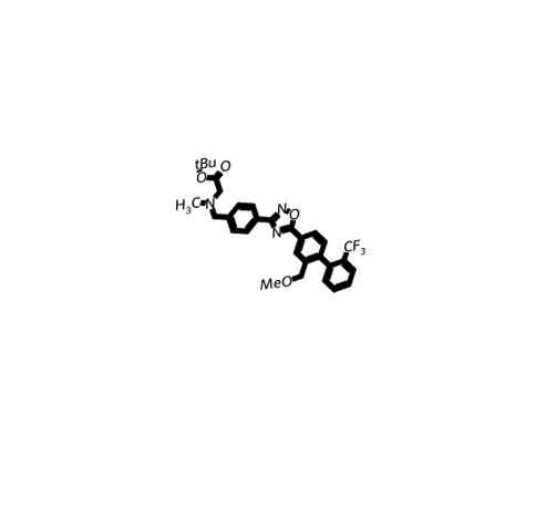 COCc1cc(-c2nc(-c3ccc(CN(C)CC(=O)OC(C)(C)C)cc3)no2)ccc1-c1ccccc1C(F)(F)F